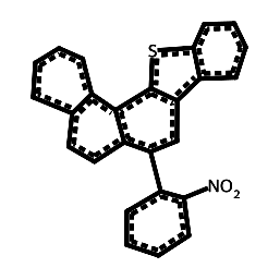 O=[N+]([O-])c1ccccc1-c1cc2c3ccccc3sc2c2c1ccc1ccccc12